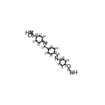 N=COc1ccc(N=Cc2ccc(C=Nc3cc[c]([Co]=[NH])cc3)cc2)cc1